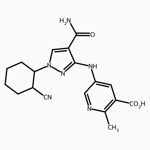 Cc1ncc(Nc2nn(C3CCCCC3C#N)cc2C(N)=O)cc1C(=O)O